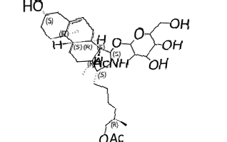 CC(=O)NC1C(O[C@H]2C[C@H](CCCC[C@@H](C)COC(C)=O)[C@@]3(C)CC[C@H]4[C@@H](CC=C5C[C@@H](O)CC[C@@]54C)[C@H]23)OC(CO)C(O)C1O